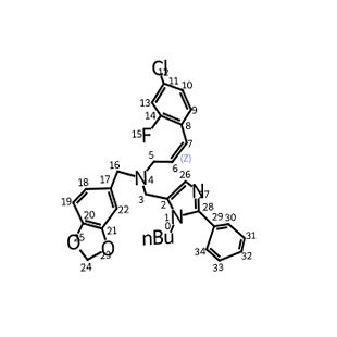 CCCCn1c(CN(C/C=C\c2ccc(Cl)cc2F)Cc2ccc3c(c2)OCO3)cnc1-c1ccccc1